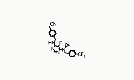 N#CCc1ccc(CNc2ncnc(N(Cc3ccc(C(F)(F)F)cc3)C3CC3)c2F)cc1